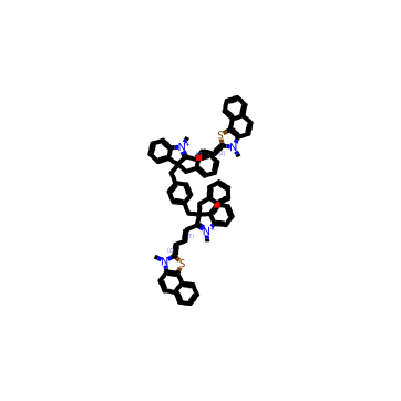 CN1/C(=C/C=C/C2=[N+](C)c3ccccc3C2(Cc2ccccc2)Cc2ccc(CC3(Cc4ccccc4)C(/C=C/C=C4\Sc5c(ccc6ccccc56)N4C)=[N+](C)c4ccccc43)cc2)Sc2c1ccc1ccccc21